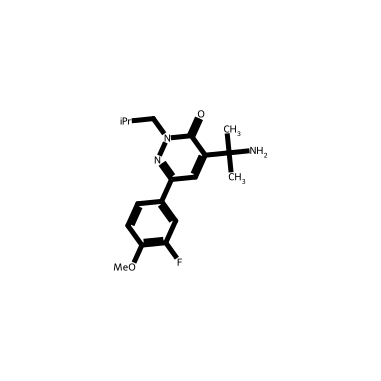 COc1ccc(-c2cc(C(C)(C)N)c(=O)n(CC(C)C)n2)cc1F